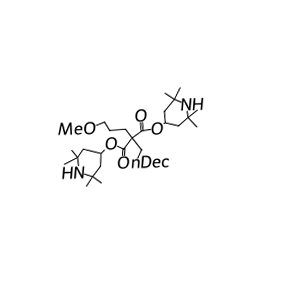 CCCCCCCCCCCC(CCCOC)(C(=O)OC1CC(C)(C)NC(C)(C)C1)C(=O)OC1CC(C)(C)NC(C)(C)C1